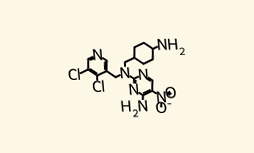 Nc1nc(N(Cc2cncc(Cl)c2Cl)CC2CCC(N)CC2)ncc1[N+](=O)[O-]